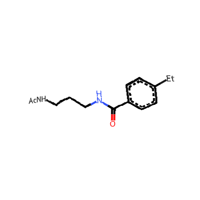 CCc1ccc(C(=O)NCCCNC(C)=O)cc1